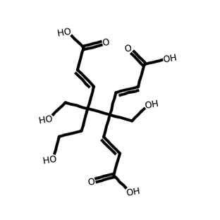 O=C(O)C=CC(C=CC(=O)O)(CO)C(C=CC(=O)O)(CO)CCO